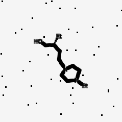 CC[C@@H](CO)CCN1CCN(CC)CC1